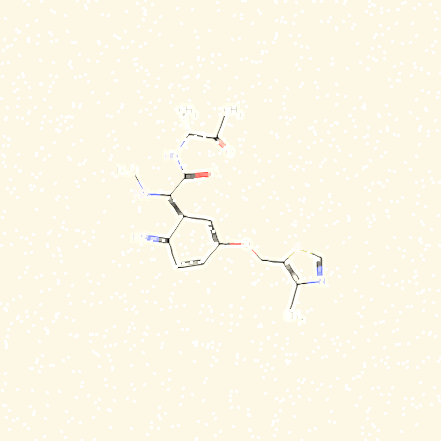 CN/C(C(=O)N[C@H](C)C(C)=O)=C1/C=C(OCc2scnc2C)C=CC1=N